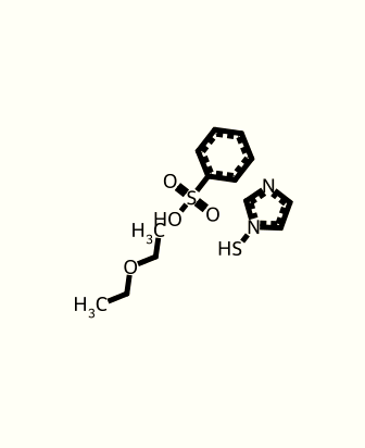 CCOCC.O=S(=O)(O)c1ccccc1.Sn1ccnc1